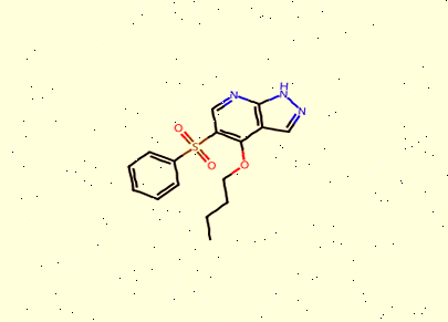 CCCCOc1c(S(=O)(=O)c2ccccc2)cnc2[nH]ncc12